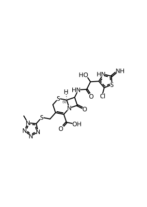 Cn1nnnc1SCC1=C(C(=O)O)N2C(=O)C(NC(=O)C(O)c3[nH]c(=N)sc3Cl)[C@@H]2SC1